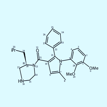 COc1cccc(-n2c(C)cc(C(=O)N3CCNC[C@H]3CC(C)C)c2-c2ccccc2)c1OC